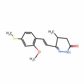 COc1cc(SC)ccc1C=CC1=NNC(=O)CC1C